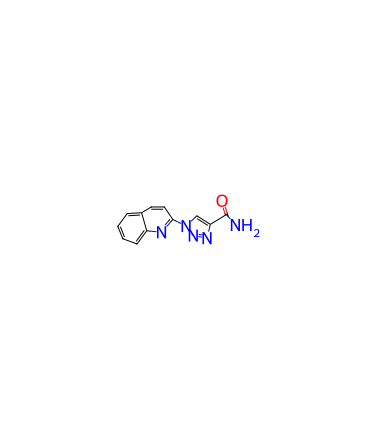 NC(=O)c1cn(-c2ccc3ccccc3n2)nn1